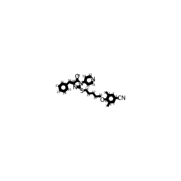 Cc1cc(C#N)cc(C)c1OCCCCCSC1=N/C(=C\c2ccccc2)C(=O)N1c1ccncc1